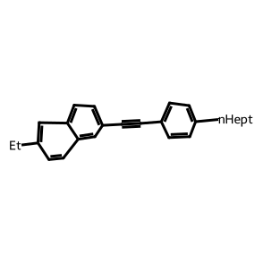 CCCCCCCc1ccc(C#Cc2ccc3cc(CC)ccc3c2)cc1